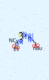 CCCCOC(=O)CCCn1cc(Nc2nc(-c3cnn(C4(CC#N)CN(S(=O)(=O)CC)C4)c3)c3sccc3n2)cn1